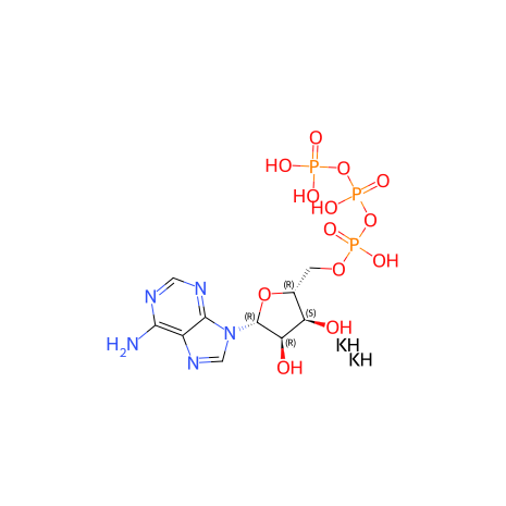 Nc1ncnc2c1ncn2[C@@H]1O[C@H](COP(=O)(O)OP(=O)(O)OP(=O)(O)O)[C@@H](O)[C@H]1O.[KH].[KH]